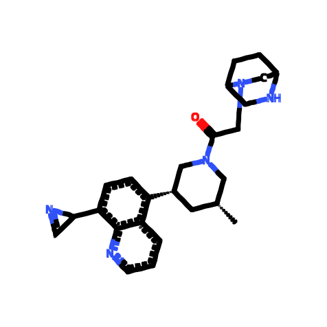 C[C@@H]1C[C@H](c2ccc(C3C=N3)c3ncccc23)CN(C(=O)CN2CC3CCC2CN3)C1